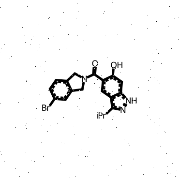 CC(C)c1n[nH]c2cc(O)c(C(=O)N3Cc4ccc(Br)cc4C3)cc12